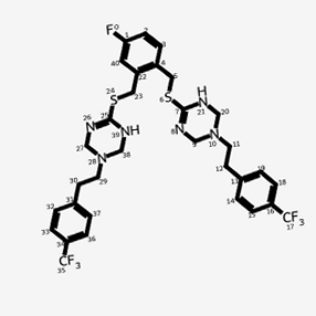 Fc1ccc(CSC2=NCN(CCc3ccc(C(F)(F)F)cc3)CN2)c(CSC2=NCN(CCc3ccc(C(F)(F)F)cc3)CN2)c1